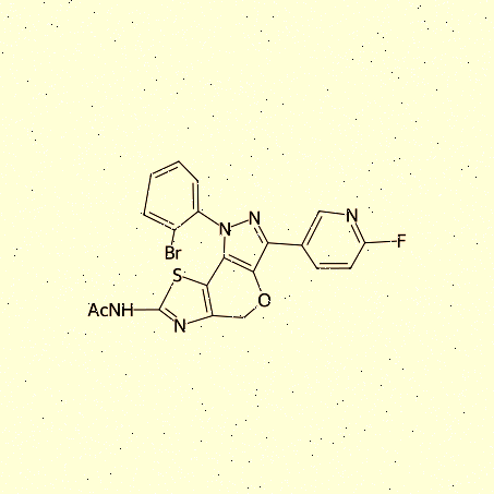 CC(=O)Nc1nc2c(s1)-c1c(c(-c3ccc(F)nc3)nn1-c1ccccc1Br)OC2